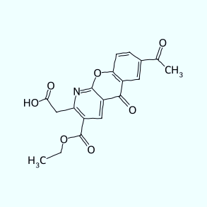 CCOC(=O)c1cc2c(=O)c3cc(C(C)=O)ccc3oc2nc1CC(=O)O